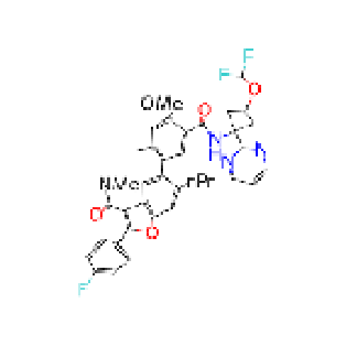 CCCc1cc2oc(-c3ccc(F)cc3)c(C(=O)NC)c2cc1-c1cc(C(=O)NC2(c3ncccn3)CC(OC(F)F)C2)c(OC)cc1C